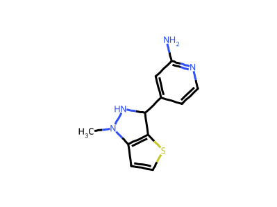 CN1NC(c2ccnc(N)c2)c2sccc21